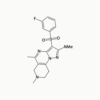 CNc1nn2c3c(c(C)nc2c1S(=O)(=O)c1cccc(F)c1)CN(C)CC3